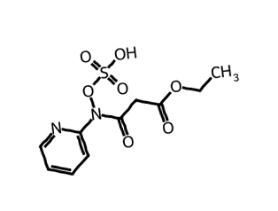 CCOC(=O)CC(=O)N(OS(=O)(=O)O)c1ccccn1